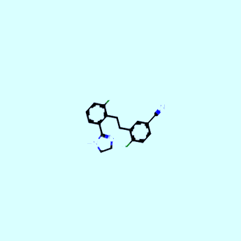 N#Cc1ccc(Cl)c(CCc2c(F)cccc2C2=NCCN2)c1